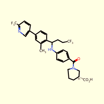 Cc1cc(-c2ccc(C(F)(F)F)nc2)ccc1C(CCC(F)(F)F)Nc1ccc(C(=O)N2CCC[C@@H](C(=O)O)C2)cc1